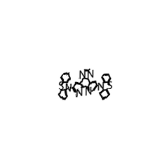 c1ccc2c(c1)Sc1ccccc1N2c1cnc2c(c1)c1nccnc1c1cc(N3c4ccccc4Sc4ccccc43)cnc12